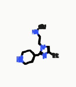 CCc1cn(CCNC(C)(C)C)c(C2CCNCC2)n1